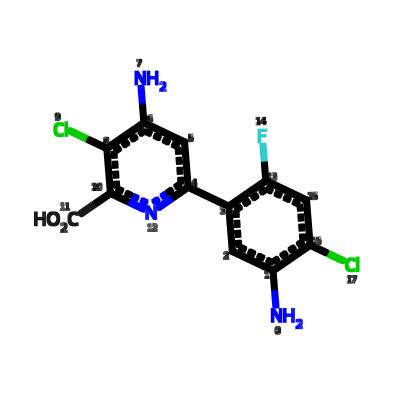 Nc1cc(-c2cc(N)c(Cl)c(C(=O)O)n2)c(F)cc1Cl